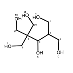 OCC(CO)C(O)C(CO)(CO)CO